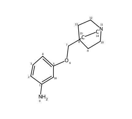 Nc1cccc(OCC23CCN(CC2)CC3)c1